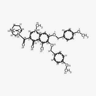 COc1ccc(COc2cc3c(c(Cl)c2OCc2ccc(OC)cc2)c(=O)c(C(=O)N2CCN4CCC2CC4)cn3C)cc1